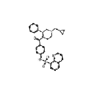 O=C(c1ccc(NS(=O)(=O)c2cccc3cccnc23)cc1)N1CCN(CC2CC2)C[C@@H]1c1ccccc1